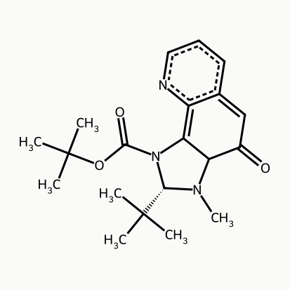 CN1C2C(=O)C=c3cccnc3=C2N(C(=O)OC(C)(C)C)[C@H]1C(C)(C)C